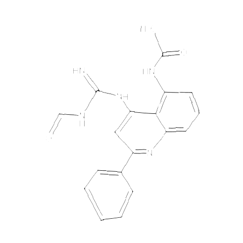 CC(=O)Nc1cccc2nc(-c3ccccc3)cc(NC(=N)NC=O)c12